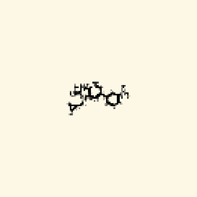 CN(C)c1cccc(-c2cnc3[nH]c(=O)n(CC4CC4)c3c2)c1